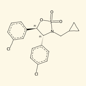 O=S1(=O)O[C@H](c2cccc(Cl)c2)[C@@H](c2ccc(Cl)cc2)N1CC1CC1